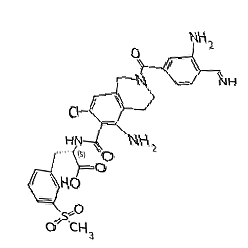 CS(=O)(=O)c1cccc(C[C@H](NC(=O)c2c(Cl)cc3c(c2N)CCN(C(=O)c2ccc(C=N)c(N)c2)C3)C(=O)O)c1